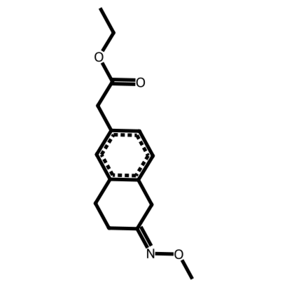 CCOC(=O)Cc1ccc2c(c1)CC/C(=N/OC)C2